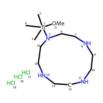 C[O][Ti]([CH3])([CH3])([CH3])[N]1CCNCCNCCNCC1.Cl.Cl.Cl